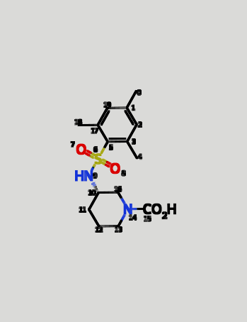 Cc1cc(C)c(S(=O)(=O)N[C@H]2CCCN(C(=O)O)C2)c(C)c1